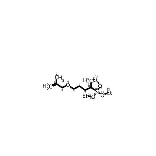 C=C(C)COCCCC(C)[Si](OCC)(OCC)OCC